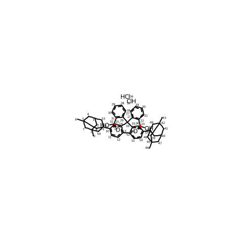 CC12CC3CC(C)(C1)CC(c1ccc4c(c1)C(c1ccccc1C(=O)O)(c1ccccc1C(=O)O)c1cc(C56CC7CC(C)(CC(C)(C7)C5)C6)ccc1-4)(C3)C2.Cl.Cl